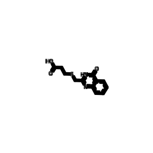 O=C(O)CCSCc1nc2ccccc2c(=O)[nH]1